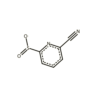 N#Cc1cccc(S([O])=O)n1